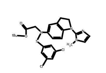 Cn1ccnc1N1CCc2cc(N(CC(=O)OC(C)(C)C)Sc3cc(Cl)cc(Cl)c3)ccc21